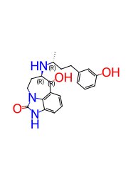 C[C@H](CCc1cccc(O)c1)N[C@@H]1CCn2c(=O)[nH]c3cccc(c32)[C@H]1O